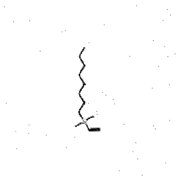 C=C[Si](C)(C)CCCCCCCC